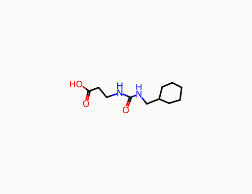 O=C(O)CCNC(=O)NCC1CCCCC1